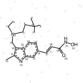 CCN(CCC(C)(C)C)Cc1c(C)nc2cc(/C=C/C(=O)NO)ccn12